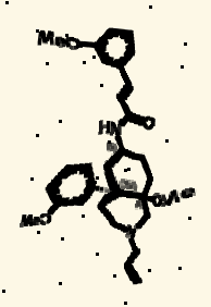 C=CCN1CC[C@@]2(c3cccc(OC)c3)C[C@@H](NC(=O)C=Cc3cccc(OC)c3)CC[C@]2(OC)C1